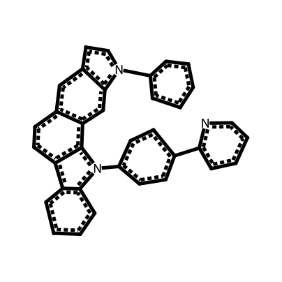 c1ccc(-n2ccc3cc4ccc5c6ccccc6n(-c6ccc(-c7ccccn7)cc6)c5c4cc32)cc1